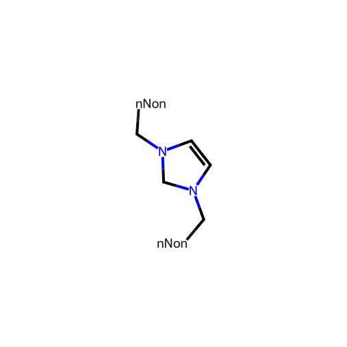 CCCCCCCCCCN1C=CN(CCCCCCCCCC)C1